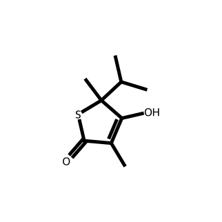 CC1=C(O)C(C)(C(C)C)SC1=O